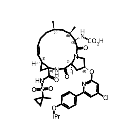 CC(C)Oc1ccc(-c2cc(Cl)cc(O[C@@H]3C[C@H]4C(=O)N[C@]5(C(=O)NS(=O)(=O)C6(C)CC6)C[C@H]5C=CCC[C@@H](C)C[C@@H](C)[C@H](NC(=O)O)C(=O)N4C3)n2)cc1